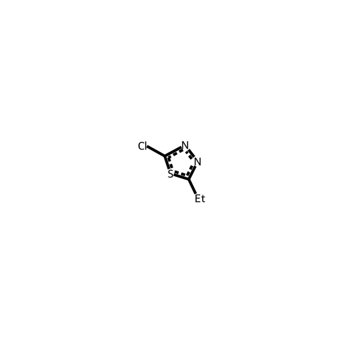 [CH2]Cc1nnc(Cl)s1